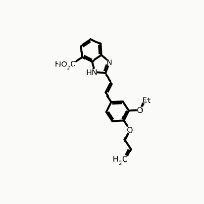 C=CCOc1ccc(C=Cc2nc3cccc(C(=O)O)c3[nH]2)cc1OCC